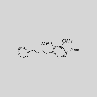 COc1c[c]c(CCCCc2ccccc2)c(OC)c1OC